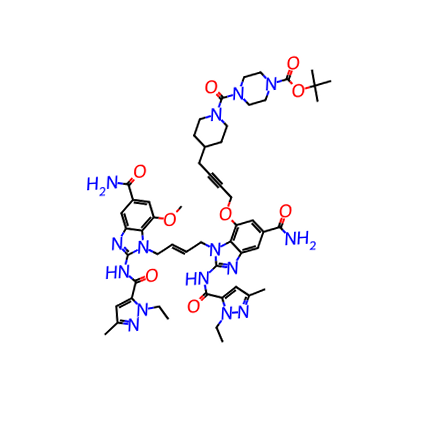 CCn1nc(C)cc1C(=O)Nc1nc2cc(C(N)=O)cc(OC)c2n1C/C=C/Cn1c(NC(=O)c2cc(C)nn2CC)nc2cc(C(N)=O)cc(OCC#CCC3CCN(C(=O)N4CCN(C(=O)OC(C)(C)C)CC4)CC3)c21